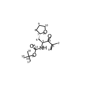 C=C(C)C(=O)[C@H](C[C@@H]1CCCO1)NC(=O)OC(C)(C)C